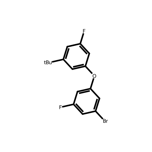 CC(C)(C)c1cc(F)cc(Oc2cc(F)cc(Br)c2)c1